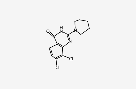 O=c1[nH]c(N2CCCCC2)nc2c(Cl)c(Cl)ccc12